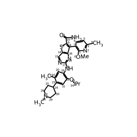 COc1nc(C)ccc1-c1c(C(N)=O)sc2cnc(Nc3cc(C)c(C4CCN(C)CC4)cc3OC(C)C)nc12